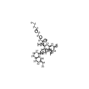 CCCCOCCOCC(=O)N[C@@H](Cc1cc(F)cc(F)c1)[C@@H](O)CN[C@H]1CCCc2ccc(CC)cc21